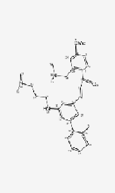 COc1ccc(C(=O)C=Cc2cc(NCCCN(C)C)cc(-c3ccccc3C)c2)c(CN(C)C)c1